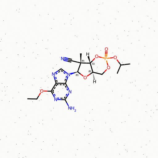 CCOc1nc(N)nc2c1ncn2[C@@H]1O[C@@H]2COP(=O)(OC(C)C)O[C@H]2[C@@]1(C)C#N